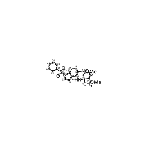 COCC(C)(Nc1c([N+](=O)[O-])cnc2c1ccn2S(=O)(=O)c1ccccc1)C(=O)OC